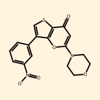 O=c1cc(N2CCOCC2)oc2c(-c3cccc([N+](=O)[O-])c3)csc12